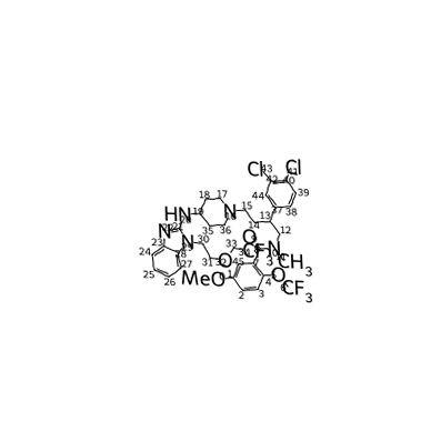 COc1ccc(OC(F)(F)F)c(C(=O)N(C)CC(CCN2CCC(Nc3nc4ccccc4n3CCOCC(F)(F)F)CC2)c2ccc(Cl)c(Cl)c2)c1